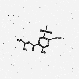 CCCCCc1cc([N+](=O)[O-])c(C(=O)N=C(N)N)cc1S(C)(=O)=O